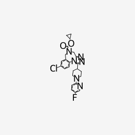 O=C(OC1CC1)N1Cc2cc(Cl)ccc2-n2c(nnc2C2CCN(c3ccc(F)cn3)CC2)C1